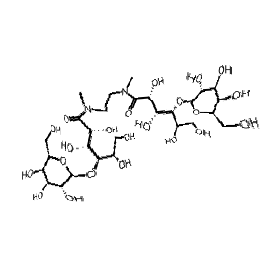 CN(CCN(C)C(=O)[C@H](O)[C@@H](O)[C@H](O[C@@H]1O[C@H](CO)[C@H](O)[C@H](O)[C@H]1O)[C@H](O)CO)C(=O)[C@H](O)[C@@H](O)[C@H](O[C@@H]1O[C@H](CO)[C@H](O)[C@H](O)[C@H]1O)[C@H](O)CO